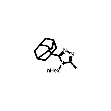 CCCCCCn1c(C)nnc1C12CC3CC(CC(C3)C1)C2